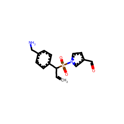 C=CC(c1ccc(CN)cc1)S(=O)(=O)n1ccc(C=O)c1